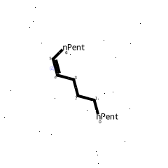 [CH2]CCCCCCC/C=C\CCCCC